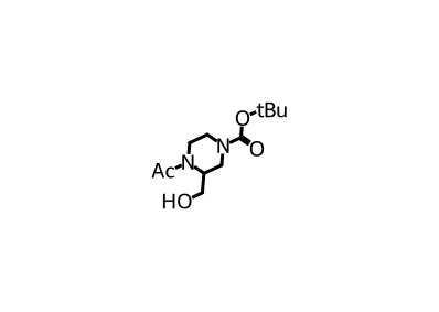 CC(=O)N1CCN(C(=O)OC(C)(C)C)CC1CO